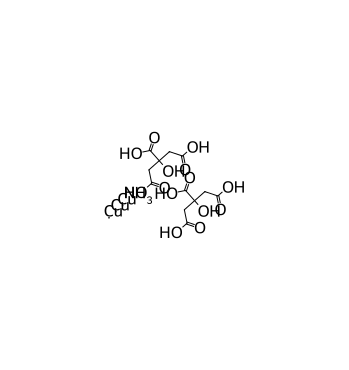 N.O=C(O)CC(O)(CC(=O)O)C(=O)O.O=C(O)CC(O)(CC(=O)O)C(=O)O.[Cu].[Cu].[Cu]